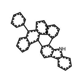 c1ccc(-c2c3ccccc3c(-c3ccc4c([nH]c5ccccc54)c3-c3ccccc3)c3ccccc23)cc1